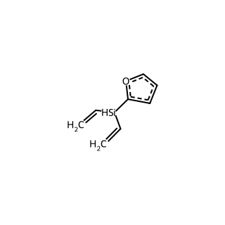 C=C[SiH](C=C)c1ccco1